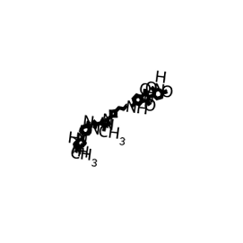 Cc1nn(C2CC(CCCNc3ccc4c(c3)C(=O)N(C3CCC(=O)NC3=O)C4=O)C2)cc1-c1cnc2ccc(N3C[C@H]4C[C@@H]3CN4C)cc2n1